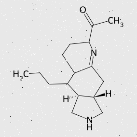 CCCC1C2CCC(C(C)=O)N=C2C[C@@H]2CNC[C@@H]12